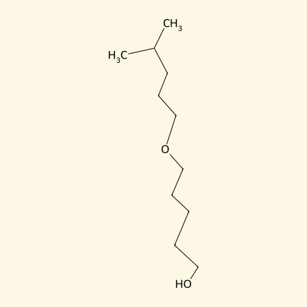 CC(C)CCCOCCCCCO